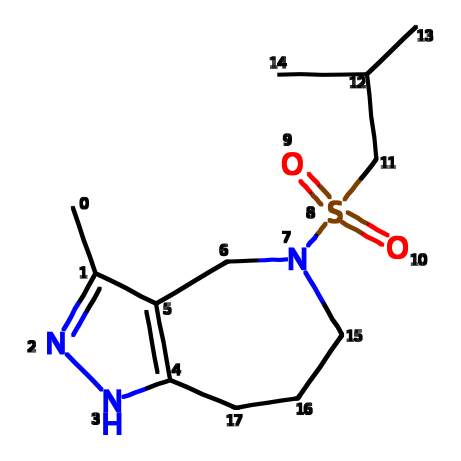 Cc1n[nH]c2c1CN(S(=O)(=O)CC(C)C)CCC2